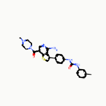 Cc1cccc(NC(=O)Nc2ccc(-c3csc4c(C(=O)N5CCN(C)CC5)cnc(N)c34)cc2)c1